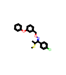 CSC(C)C(=NOCc1cccc(Oc2ccccc2)c1)c1ccc(Cl)cc1